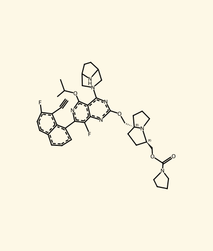 C#Cc1c(F)ccc2cccc(-c3nc(OC(C)C)c4c(N5CC6CCC(C5)N6)nc(OC[C@]56CCCN5[C@@H](COC(=O)N5CCCC5)CC6)nc4c3F)c12